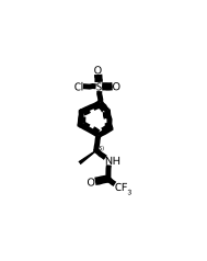 C[C@H](NC(=O)C(F)(F)F)c1ccc(S(=O)(=O)Cl)cc1